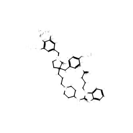 COc1cc(CN2CCC(CCCN3CCC(Nc4nc5ccccc5n4CCCC(=O)O)CC3)(Cc3ccc(F)cc3)C2=O)cc(OC)c1OC.Cl